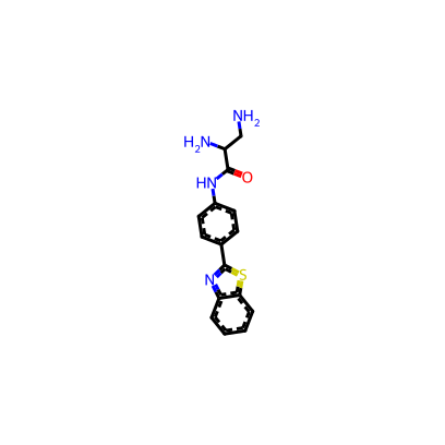 NCC(N)C(=O)Nc1ccc(-c2nc3ccccc3s2)cc1